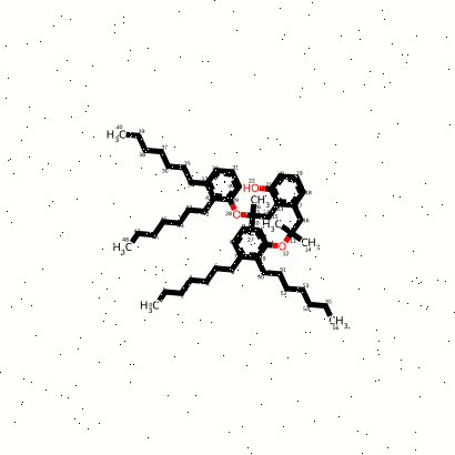 CCCCCCCc1cccc(OC(C)(C)Cc2cccc(O)c2CC(C)(C)Oc2cccc(CCCCCCC)c2CCCCCCC)c1CCCCCCC